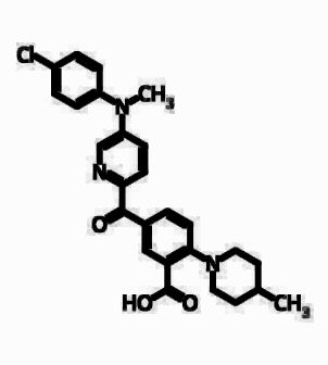 CC1CCN(c2ccc(C(=O)c3ccc(N(C)c4ccc(Cl)cc4)cn3)cc2C(=O)O)CC1